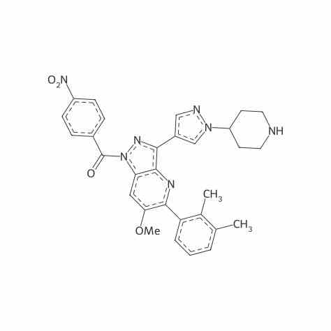 COc1cc2c(nc1-c1cccc(C)c1C)c(-c1cnn(C3CCNCC3)c1)nn2C(=O)c1ccc([N+](=O)[O-])cc1